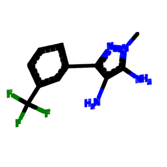 Cn1nc(-c2cccc(C(F)(F)F)c2)c(N)c1N